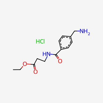 CCOC(=O)CCNC(=O)c1ccc(CN)cc1.Cl